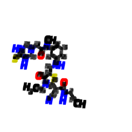 C#CCNC(=O)C(C#N)=c1sc(=CNc2cccc(N(C)C(=O)CN3CNC(=S)NC3)c2)c(=O)n1CC